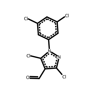 O=Cc1c(Cl)nn(-c2cc(Cl)cc(Cl)c2)c1Cl